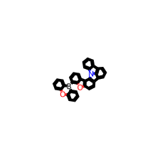 c1ccc2c(c1)Oc1ccccc1B2c1cccc2c1oc1ccc3c4cccc5c6ccccc6n(c54)c3c12